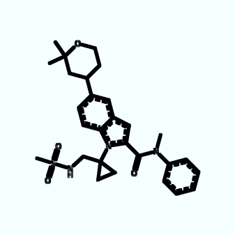 CN(C(=O)c1cc2cc(C3CCOC(C)(C)C3)ccc2n1C1(CNS(C)(=O)=O)CC1)c1ccccc1